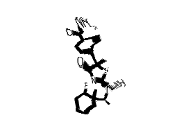 C[C@H](NC1=NC(=O)C(C)(c2ccc(C(N)=O)cc2)S1)C1(C)C=CC=CC1F